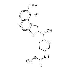 COc1ccc2ncc3c(c2c1F)CC(C(O)C1CCC(NC(=O)OC(C)(C)C)CO1)O3